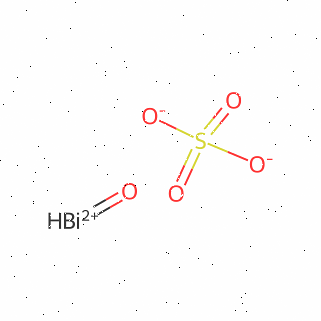 O=S(=O)([O-])[O-].[O]=[BiH+2]